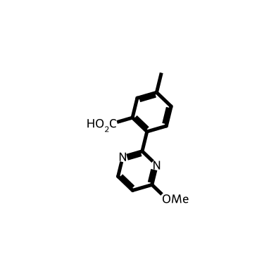 COc1ccnc(-c2ccc(C)cc2C(=O)O)n1